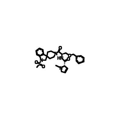 CN1CC=C[C@H]1C(=O)N[C@H](COCc1ccccc1)C(=O)N1CCC2(CC1)CN(S(C)(=O)=O)c1ccccc12